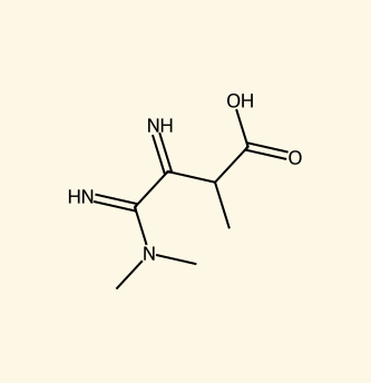 CC(C(=N)C(=N)N(C)C)C(=O)O